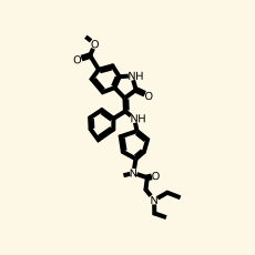 CCN(CC)CC(=O)N(C)c1ccc(N/C(=C2\C(=O)Nc3cc(C(=O)OC)ccc32)c2ccccc2)cc1